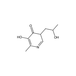 CC1=C(O)C(=O)C(CC(C)O)C=N1